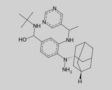 CC(Nc1cc(C(O)NC(C)(C)C)ccc1N(N)[C@]12CC3CC(C[C@H](C3)C1)C2)c1cncnc1